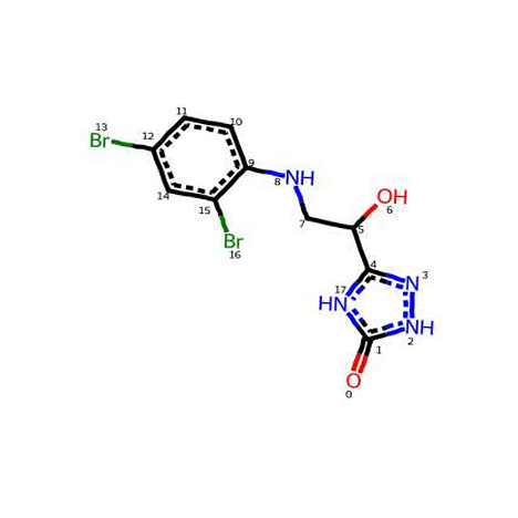 O=c1[nH]nc(C(O)CNc2ccc(Br)cc2Br)[nH]1